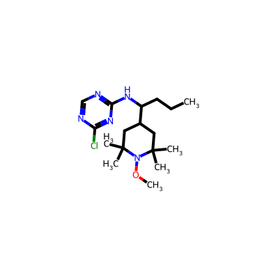 CCCC(Nc1ncnc(Cl)n1)C1CC(C)(C)N(OC)C(C)(C)C1